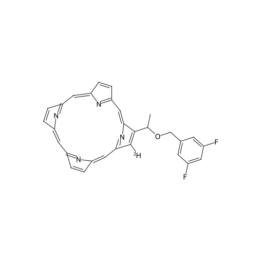 [2H]C1=C(C(C)OCc2cc(F)cc(F)c2)C2=CC3=NC(=CC4=NC(=CC5=NC(=CC1=N2)C=C5)C=C4)C=C3